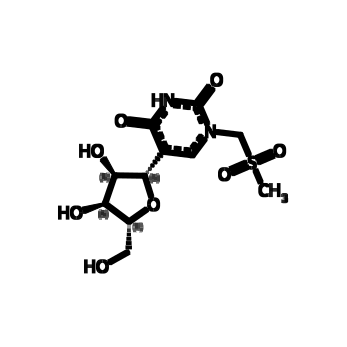 CS(=O)(=O)Cn1cc([C@@H]2O[C@H](CO)[C@@H](O)[C@H]2O)c(=O)[nH]c1=O